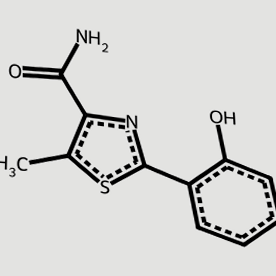 Cc1sc(-c2ccccc2O)nc1C(N)=O